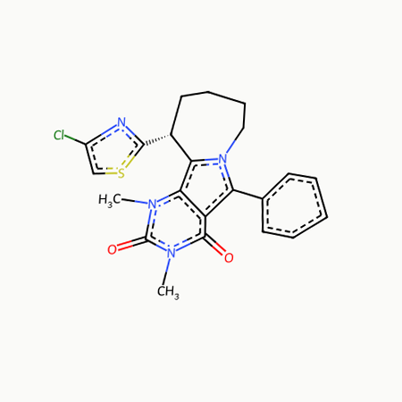 Cn1c(=O)c2c(-c3ccccc3)n3c(c2n(C)c1=O)[C@H](c1nc(Cl)cs1)CCCC3